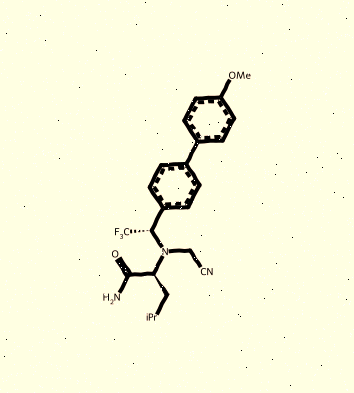 COc1ccc(-c2ccc([C@H](N(CC#N)[C@@H](CC(C)C)C(N)=O)C(F)(F)F)cc2)cc1